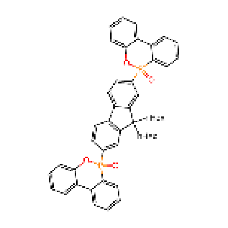 CCCCCCC1(CCCCCC)c2cc(P3(=O)Oc4ccccc4-c4ccccc43)ccc2-c2ccc(P3(=O)Oc4ccccc4-c4ccccc43)cc21